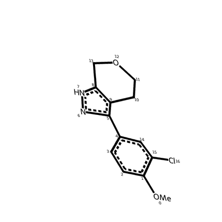 COc1ccc(-c2n[nH]c3c2CCOC3)cc1Cl